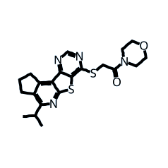 CC(C)c1nc2sc3c(SCC(=O)N4CCOCC4)ncnc3c2c2c1CCC2